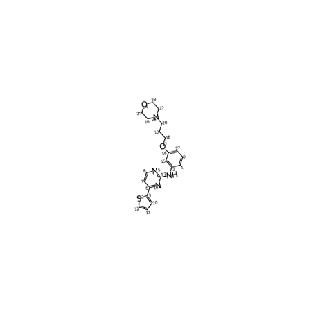 c1cc(Nc2nccc(-c3cccs3)n2)cc(OCCCN2CCOCC2)c1